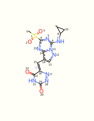 CS(=O)(=O)c1nc(NC2CC2)n2ncc(/C=C3\N=NC(=O)NC3=O)c2n1